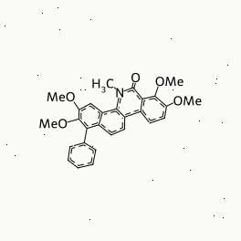 COc1cc2c(ccc3c4ccc(OC)c(OC)c4c(=O)n(C)c23)c(-c2ccccc2)c1OC